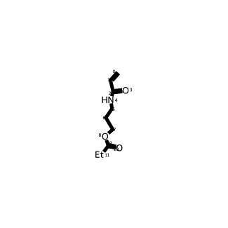 C=CC(=O)NCCCOC(=O)CC